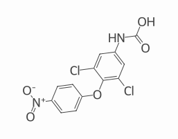 O=C(O)Nc1cc(Cl)c(Oc2ccc([N+](=O)[O-])cc2)c(Cl)c1